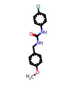 COc1ccc(CNC(=O)Nc2ccc(Cl)cc2)cc1